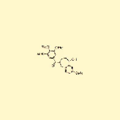 COc1ccc2c(c1)C(O)CCC(C(=O)c1cc(OC)c(OC)c(OC)c1)=C2